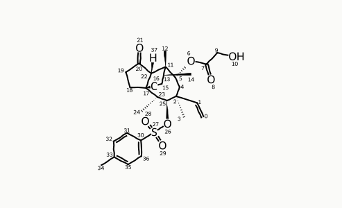 C=C[C@]1(C)C[C@@H](OC(=O)CO)[C@]2(C)[C@H](C)CC[C@]3(CCC(=O)[C@@H]32)[C@@H](C)[C@@H]1OS(=O)(=O)c1ccc(C)cc1